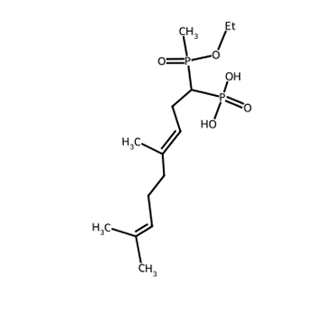 CCOP(C)(=O)C(C/C=C(\C)CCC=C(C)C)P(=O)(O)O